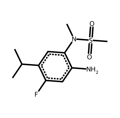 CC(C)c1cc(N(C)S(C)(=O)=O)c(N)cc1F